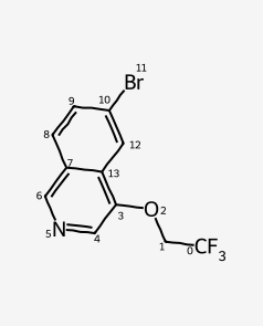 FC(F)(F)COc1cncc2ccc(Br)cc12